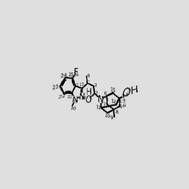 CC(CC(O)N1C2CC3(C)CC1CC(O)(C2)C3)c1nn(C)c2cccc(F)c12